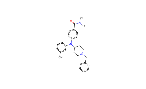 CCN(CC)C(=O)c1ccc(N(c2cccc(C#N)c2)C2CCN(Cc3ccccc3)CC2)cc1